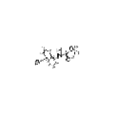 CC(C)(C)OC(=O)N[C@@H]1CCCc2c(Br)cccc21